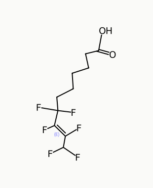 O=C(O)CCCCCC(F)(F)/C(F)=C(\F)C(F)F